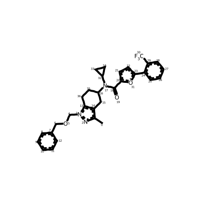 Cc1nn(COCc2ccccc2)c2c1CC(N(C(=O)c1ccc(-c3ccccc3C(F)(F)F)o1)C1CC1)CC2